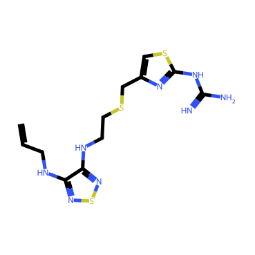 C=CCNc1nsnc1NCCSCc1csc(NC(=N)N)n1